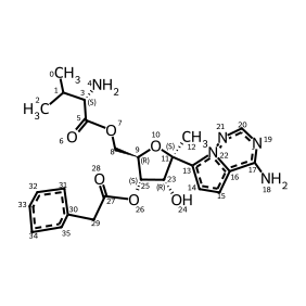 CC(C)[C@H](N)C(=O)OC[C@H]1O[C@@](C)(c2ccc3c(N)ncnn23)[C@H](O)[C@@H]1OC(=O)Cc1ccccc1